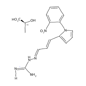 C[C@H](O)C(=O)O.[H]/N=C(\N)NN=CC=Cc1cccn1-c1ccccc1[N+](=O)[O-]